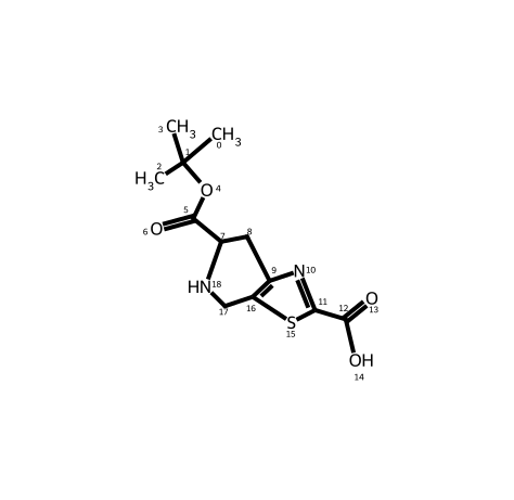 CC(C)(C)OC(=O)C1Cc2nc(C(=O)O)sc2CN1